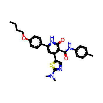 CCCCOc1ccc(-c2cc(-c3cnc(N(C)C)s3)c(C(=O)Nc3ccc(C)cc3)c(=O)[nH]2)cc1